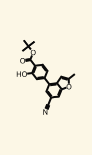 Cc1cc2c(-c3ccc(C(=O)OC(C)(C)C)c(O)c3)cc(C#N)cc2o1